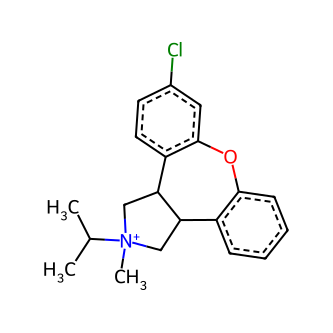 CC(C)[N+]1(C)CC2c3ccccc3Oc3cc(Cl)ccc3C2C1